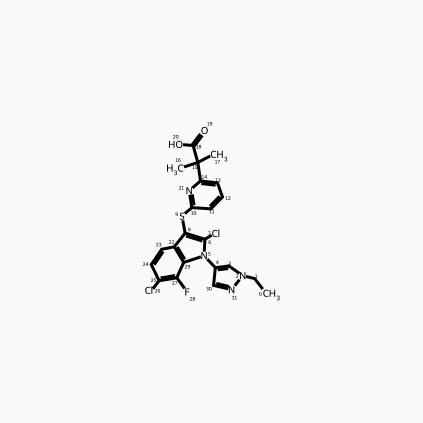 CCn1cc(-n2c(Cl)c(Sc3cccc(C(C)(C)C(=O)O)n3)c3ccc(Cl)c(F)c32)cn1